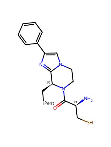 CCCC(C)C[C@H]1c2nc(-c3ccccc3)cn2CCN1C(=O)[C@@H](N)CS